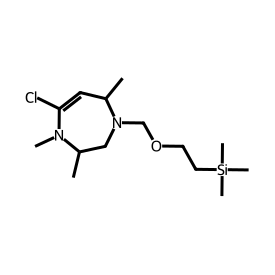 CC1C=C(Cl)N(C)C(C)CN1COCC[Si](C)(C)C